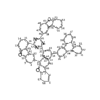 C1=Cc2c(oc3c(-c4ccc5oc6cccc(-c7nc(-c8cccc(-c9ccc%10c%11ccccc%11c%11ccccc%11c%10c9)c8)nc(-c8ccc9oc%10ccccc%10c9c8)n7)c6c5c4)cccc23)CC1